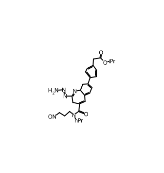 CCCN(CCCN=O)C(=O)C1=CC2=CC=C(c3ccc(CC(=O)OC(C)C)cc3)CC2N=C(N=NN)C1